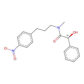 CN(CCCc1ccc([N+](=O)[O-])cc1)C(=O)[C@@H](O)c1ccccc1